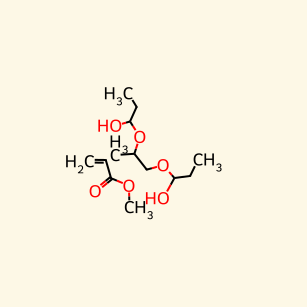 C=CC(=O)OC.CCC(O)OCC(C)OC(O)CC